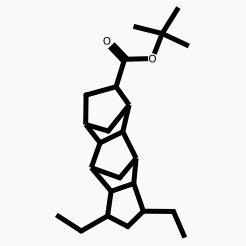 CCC1CC(CC)C2C3CC(C12)C1C2CC(C(=O)OC(C)(C)C)C(C2)C31